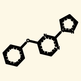 c1ccc(Oc2ccnc(-n3cccn3)n2)cc1